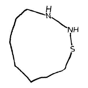 C1CCCNNSCCC1